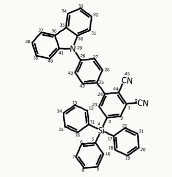 N#Cc1cc([Si](c2ccccc2)(c2ccccc2)c2ccccc2)cc(-c2ccc(-n3c4ccccc4c4ccccc43)cc2)c1C#N